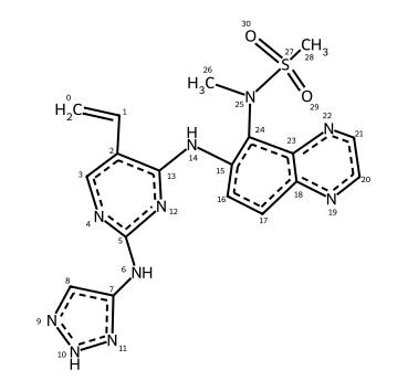 C=Cc1cnc(Nc2cn[nH]n2)nc1Nc1ccc2nccnc2c1N(C)S(C)(=O)=O